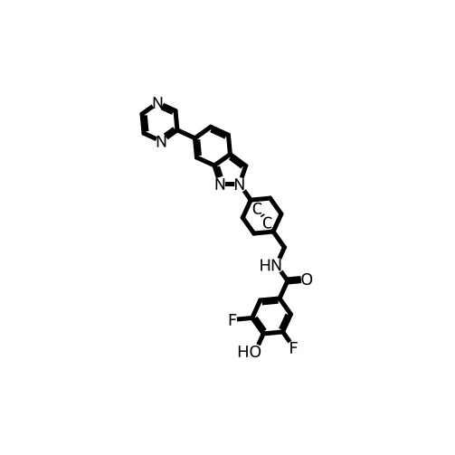 O=C(NCC12CCC(n3cc4ccc(-c5cnccn5)cc4n3)(CC1)CC2)c1cc(F)c(O)c(F)c1